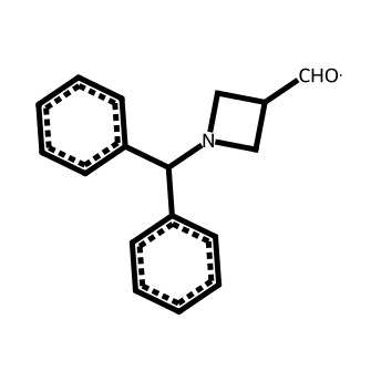 O=[C]C1CN(C(c2ccccc2)c2ccccc2)C1